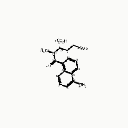 CSCC[C@@H](C(=O)O)N(C)C(=O)c1cccc2c(N)cccc12